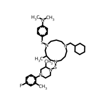 Cc1cc(F)ccc1N1CCN(SN2CCCN(CC3CCCCC3)CCCN(Sc3ccc(N(C)C)cc3)CC(C)C2)C(C)C1